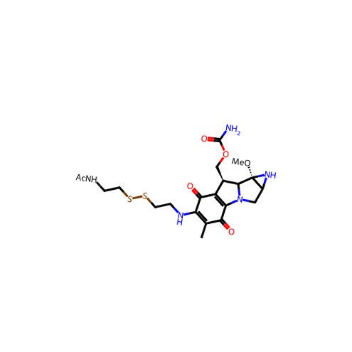 CO[C@]12NC1CN1C3=C(C(=O)C(NCCSSCCNC(C)=O)=C(C)C3=O)[C@@H](COC(N)=O)C12